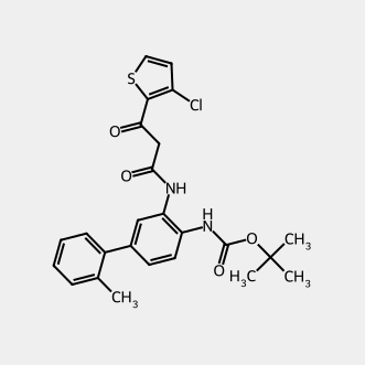 Cc1ccccc1-c1ccc(NC(=O)OC(C)(C)C)c(NC(=O)CC(=O)c2sccc2Cl)c1